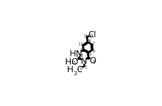 CCN1C(=O)c2ccc(CCl)cc2NC1O